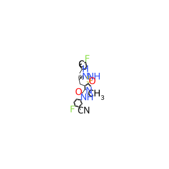 Cn1cc2c(c1C(=O)Nc1ccc(F)c(C#N)c1)CC[C@H](Cc1ccc(F)cc1)NS2(=N)=O